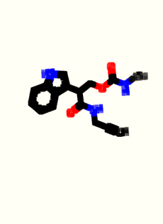 C#CCNC(=O)C(COC(=O)NC(C)(C)C)c1c[nH]c2ccccc12